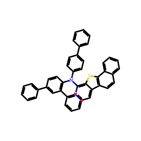 c1ccc(-c2ccc(N(c3ccc(-c4ccccc4)cc3-c3ccccc3)c3nccc4c3sc3c5ccccc5ccc43)cc2)cc1